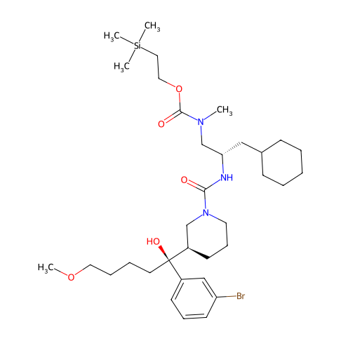 COCCCC[C@@](O)(c1cccc(Br)c1)[C@@H]1CCCN(C(=O)N[C@@H](CC2CCCCC2)CN(C)C(=O)OCC[Si](C)(C)C)C1